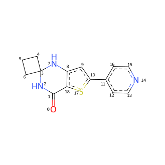 O=C1NC2(CCC2)Nc2cc(-c3ccncc3)sc21